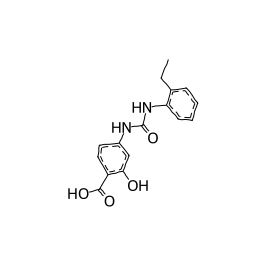 CCc1ccccc1NC(=O)Nc1ccc(C(=O)O)c(O)c1